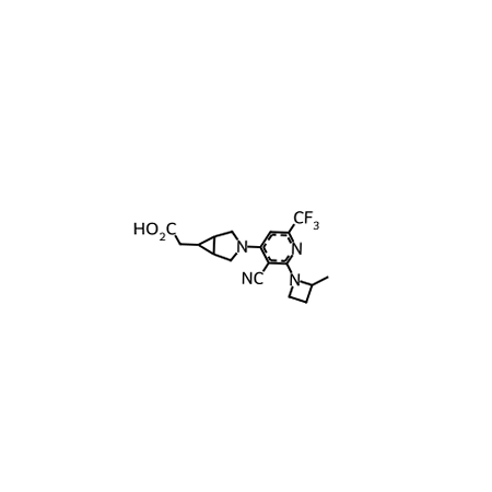 CC1CCN1c1nc(C(F)(F)F)cc(N2CC3C(CC(=O)O)C3C2)c1C#N